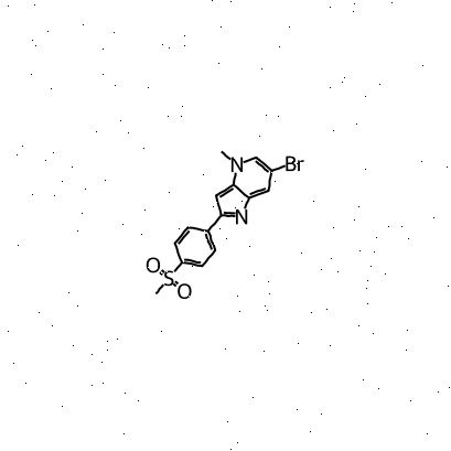 Cn1cc(Br)cc2nc(-c3ccc(S(C)(=O)=O)cc3)cc1-2